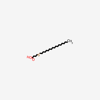 CCCCCCCCCCCCCCCCCCCSCCCC(=O)O